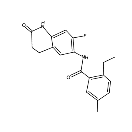 CCc1ccc(C)cc1C(=O)Nc1cc2c(cc1F)NC(=O)CC2